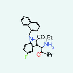 CCOC(=O)c1c(C(N)C(=O)C(C)C)c2cc(F)ccc2n1Cc1cccc2ccccc12